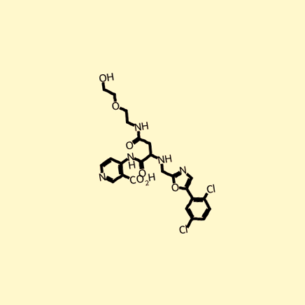 O=C(CC(NCc1ncc(-c2cc(Cl)ccc2Cl)o1)C(=O)Nc1ccncc1C(=O)O)NCCOCCO